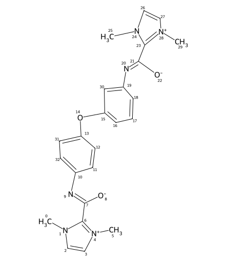 Cn1cc[n+](C)c1/C([O-])=N/c1ccc(Oc2cccc(/N=C(\[O-])c3n(C)cc[n+]3C)c2)cc1